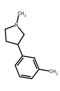 [CH2]c1cccc(C2CCN(C)C2)c1